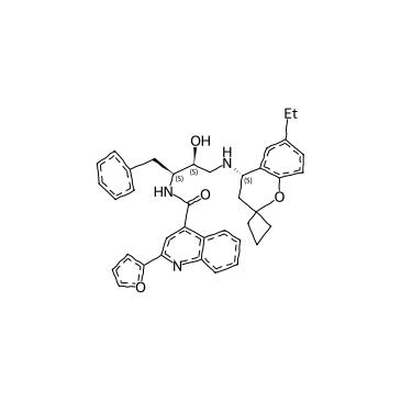 CCc1ccc2c(c1)[C@@H](NC[C@H](O)[C@H](Cc1ccccc1)NC(=O)c1cc(-c3ccco3)nc3ccccc13)CC1(CCC1)O2